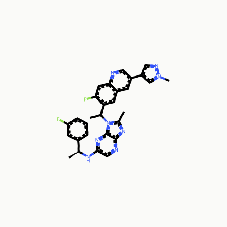 Cc1nc2ncc(N[C@@H](C)c3cccc(F)c3)nc2n1C(C)c1cc2cc(-c3cnn(C)c3)cnc2cc1F